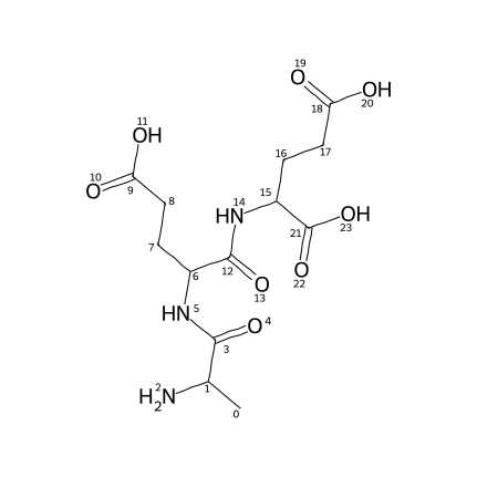 CC(N)C(=O)NC(CCC(=O)O)C(=O)NC(CCC(=O)O)C(=O)O